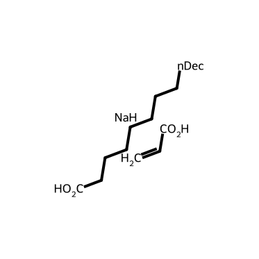 C=CC(=O)O.CCCCCCCCCCCCCCCCCC(=O)O.[NaH]